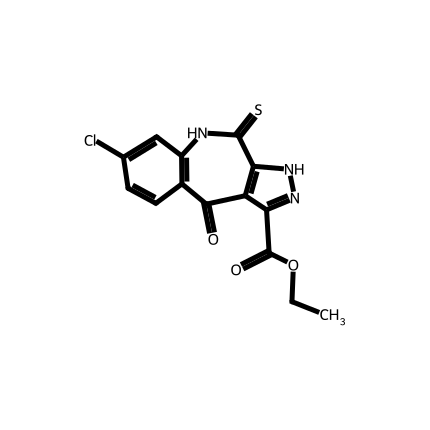 CCOC(=O)c1n[nH]c2c(=S)[nH]c3cc(Cl)ccc3c(=O)c12